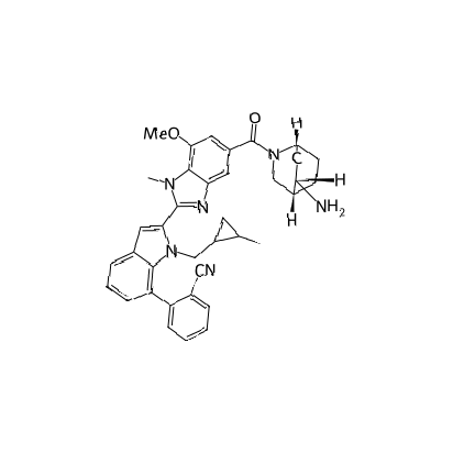 COc1cc(C(=O)N2C[C@H]3CC[C@@H]2C[C@@H]3N)cc2nc(-c3cc4cccc(-c5ccccc5C#N)c4n3CC3CC3C)n(C)c12